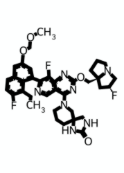 CCc1c(F)ccc2cc(OCOC)cc(-c3ncc4c(N5CCCC6(CNC(=O)N6)C5)nc(OC[C@@]56CCCN5C[C@H](F)C6)nc4c3F)c12